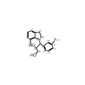 Cc1cccc2c1N([C@@H](c1cccc(F)c1)[C@H](O)CO)CC2